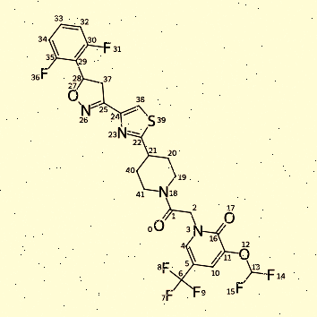 O=C(Cn1cc(C(F)(F)F)cc(OC(F)F)c1=O)N1CCC(c2nc(C3=NOC(c4c(F)cccc4F)C3)cs2)CC1